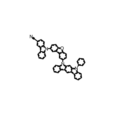 N#Cc1ccc2c(c1)c1ccccc1n2-c1ccc2oc3ccc(-n4c5ccccc5c5cc6c7ccccc7n(-c7ccccc7)c6cc54)cc3c2c1